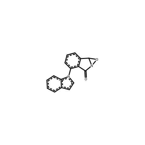 O=C1c2c(cccc2-n2ccc3ccccc32)[C]2ON21